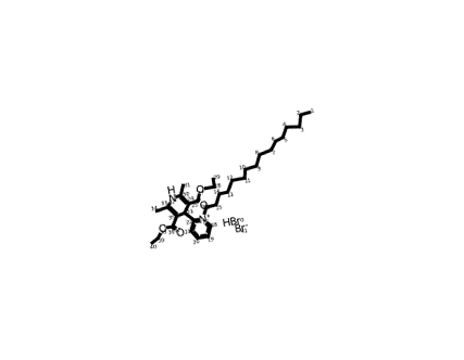 Br.CCCCCCCCCCCCCCCC[n+]1ccccc1C1C(C(=O)OCC)=C(C)NC(C)=C1C(=O)OCC.[Br-]